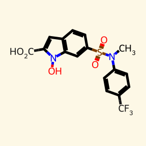 CN(c1ccc(C(F)(F)F)cc1)S(=O)(=O)c1ccc2cc(C(=O)O)n(O)c2c1